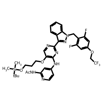 CC(=O)Nc1cc(Nc2nc(-c3nn(Cc4c(F)cc(OCC(F)(F)F)cc4F)c4ccccc34)ncc2OCCCO[Si](C)(C)C(C)(C)C)ccn1